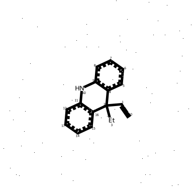 C=CC1(CC)c2ccccc2Nc2ccccc21